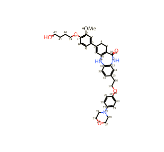 COc1cc(C2=CC3=C(CC2)C(=O)Nc2cc(CCOc4ccc(N5CCOCC5)cc4)ccc2N3)ccc1OCCCCO